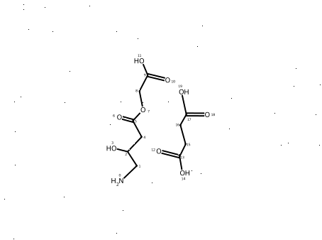 NCC(O)CC(=O)OCC(=O)O.O=C(O)CCC(=O)O